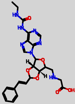 CCNC(=O)Nc1ncnc2c1ncn2C1OC(CNCC(=O)O)[C@H]2OC(C=Cc3ccccc3)O[C@H]12